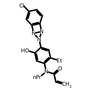 C=CC(=O)N(CCC)c1cc(O)c(-n2n3c4ccc(Cl)cc4n23)cc1CC